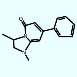 CC1CN(C)c2cc(-c3ccccc3)cc(=O)n21